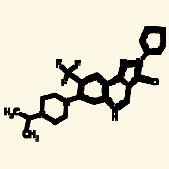 CC(C)N1CCN(c2cc3[nH]cc4c(=O)n(-c5ccccc5)nc-4c3cc2C(F)(F)F)CC1